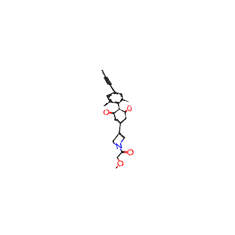 CC#Cc1cc(C)c(C2C(=O)CC(C3CN(C(=O)COC)C3)CC2=O)c(C)c1